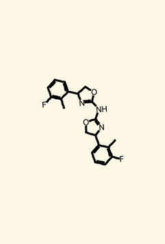 Cc1c(F)cccc1C1COC(NC2=NC(c3cccc(F)c3C)CO2)=N1